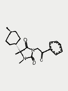 CN1C(=O)N(CC(=O)c2ccccc2)C(=O)C1(C)[C@H]1CC[C@H](C)CC1